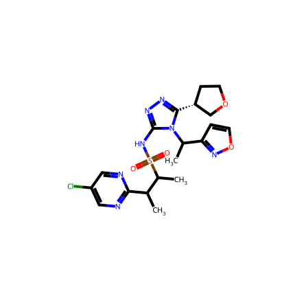 CC(c1ncc(Cl)cn1)C(C)S(=O)(=O)Nc1nnc([C@@H]2CCOC2)n1C(C)c1ccon1